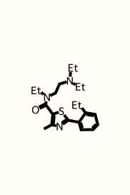 CCc1ccccc1-c1nc(C)c(C(=O)N(CC)CCN(CC)CC)s1